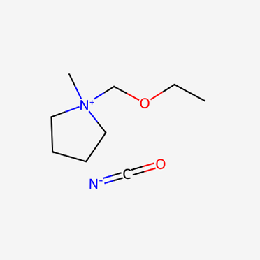 CCOC[N+]1(C)CCCC1.[N-]=C=O